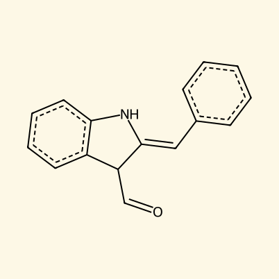 O=CC1C(=Cc2ccccc2)Nc2ccccc21